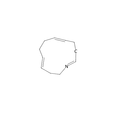 C1=C/CC/C=N/CC/C=C/CC/1